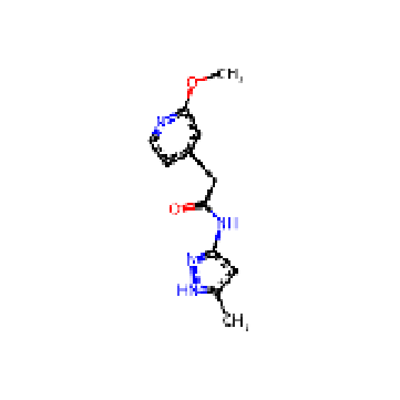 COc1cc(CC(=O)Nc2cc(C)[nH]n2)ccn1